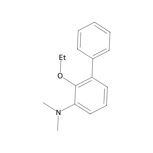 CCOc1c(-c2ccccc2)cccc1N(C)C